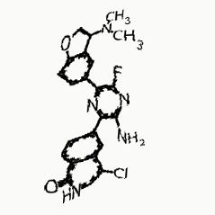 CN(C)C1COc2ccc(-c3nc(-c4ccc5c(=O)[nH]cc(Cl)c5c4)c(N)nc3F)cc21